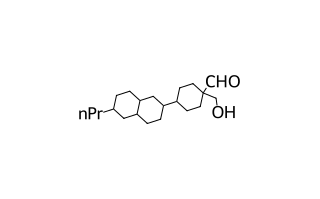 CCCC1CCC2CC(C3CCC(C=O)(CO)CC3)CCC2C1